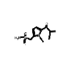 CC(C)C(=O)c1ccc(CS(N)(=O)=O)n1C